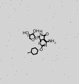 C[C@H]1CC[C@H](Oc2nc(N)c3c(=O)[nH]n([C@@H]4OC[C@@H](O)[C@H]4O)c3n2)CC1